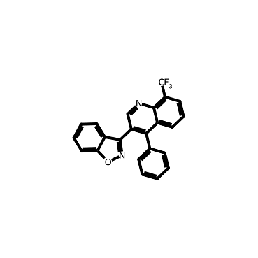 FC(F)(F)c1cccc2c(-c3ccccc3)c(-c3noc4ccccc34)cnc12